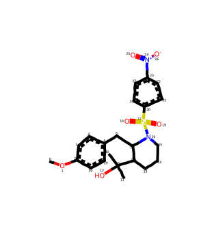 COc1ccc(CC2C(C(C)(C)O)CCCN2S(=O)(=O)c2ccc([N+](=O)[O-])cc2)cc1